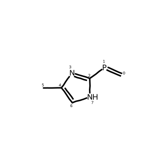 C=Pc1nc(C)c[nH]1